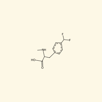 CNC(Cc1ccc(C(F)F)cc1)C(=O)O